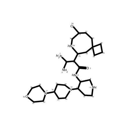 NC(N)C(C(=O)NC1CNCCC1N1CCC(N2CCOCC2)CC1)C1CC2(CCC2)CCC(Cl)CN1